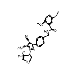 COc1ccc(F)cc1C(=O)NCc1ccc(-c2nn(C3COCC3(F)F)c(N)c2C#N)cc1